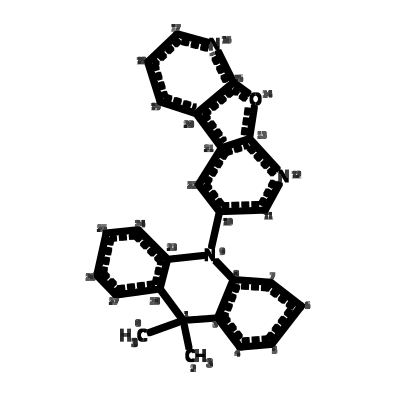 CC1(C)c2ccccc2N(c2cnc3oc4ncccc4c3c2)c2ccccc21